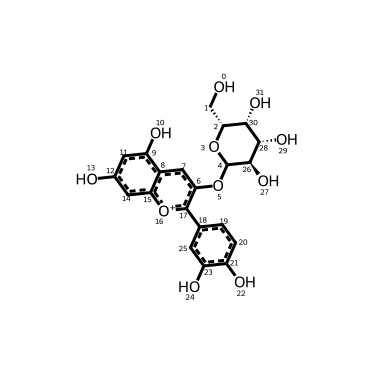 OC[C@H]1OC(Oc2cc3c(O)cc(O)cc3[o+]c2-c2ccc(O)c(O)c2)[C@H](O)[C@@H](O)[C@H]1O